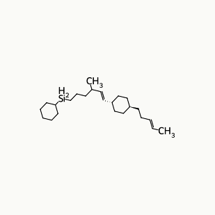 C/C=C/CC[C@H]1CC[C@H](/C=C/C(C)CCC[SiH2]C2CCCCC2)CC1